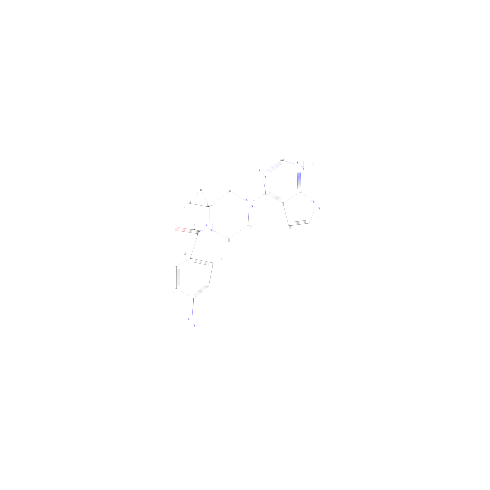 Nc1ccc(C(=O)N2CCN(c3ncnc4[nH]ccc34)CC23CC3)cc1